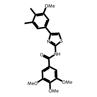 COc1cc(-c2csc(NC(=O)c3cc(OC)c(OC)c(OC)c3)n2)cc(C)c1C